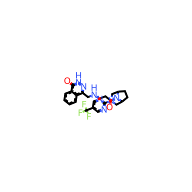 O=C(CCNCc1n[nH]c(=O)c2ccccc12)N1C2CCC1CN(c1ncc(C(F)(F)F)cn1)C2